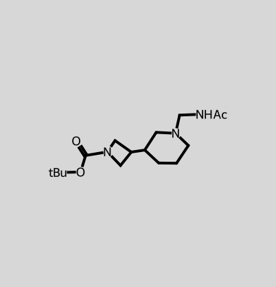 CC(=O)NCN1CCCC(C2CN(C(=O)OC(C)(C)C)C2)C1